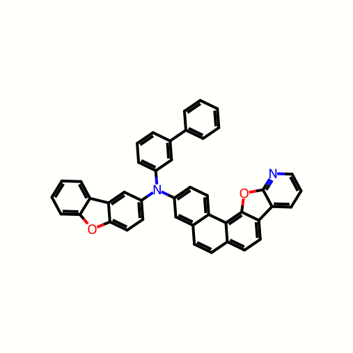 c1ccc(-c2cccc(N(c3ccc4c(ccc5ccc6c7cccnc7oc6c54)c3)c3ccc4oc5ccccc5c4c3)c2)cc1